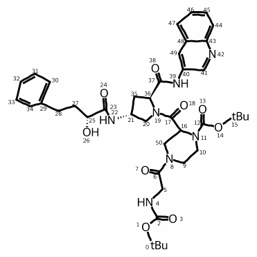 CC(C)(C)OC(=O)NCC(=O)N1CCN(C(=O)OC(C)(C)C)C(C(=O)N2C[C@H](NC(=O)[C@H](O)CCc3ccccc3)C[C@H]2C(=O)Nc2cnc3ccccc3c2)C1